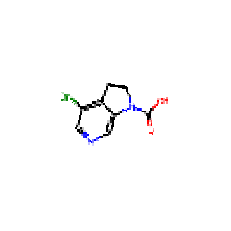 O=C(O)N1CCc2c(Br)cncc21